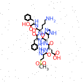 CS(=O)(=O)CCC(N)C(=O)N[C@@H](CCC(=O)O)C(=O)N[C@@H](Cc1cnc[nH]1)C(=O)N[C@@H](Cc1ccccc1)C(=O)N[C@H](CCCCN)C(=O)N[C@@H](Cc1ccccc1)C(=O)O